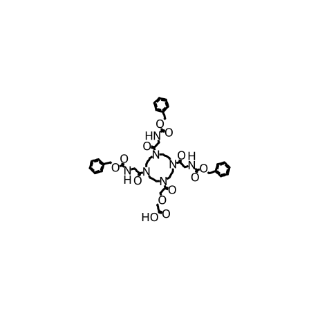 O=C(O)COCC(=O)N1CCN(C(=O)CNC(=O)OCc2ccccc2)CCN(C(=O)CNC(=O)OCc2ccccc2)CCN(C(=O)CNC(=O)OCc2ccccc2)CC1